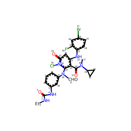 CCNC(=O)Nc1cccc(N(C=O)c2c(C(=O)N(C)C3CC3)c(Nc3ccc(Br)cc3F)cc(=O)n2Cl)c1